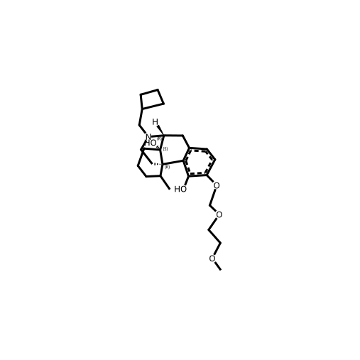 COCCOCOc1ccc2c(c1O)[C@]13CCN(CC4CCC4)[C@H](C2)[C@]1(O)CCCC3C